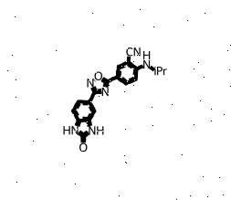 CC(C)Nc1ccc(-c2nc(-c3ccc4[nH]c(=O)[nH]c4c3)no2)cc1C#N